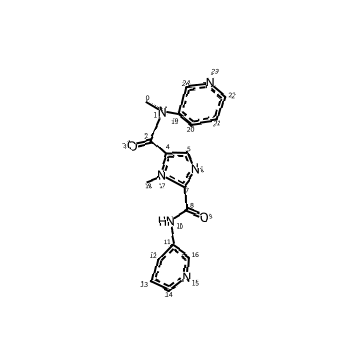 CN(C(=O)c1cnc(C(=O)Nc2cccnc2)n1C)c1cccnc1